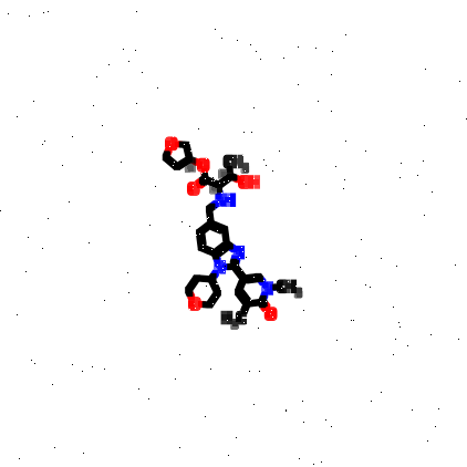 Cc1cc(-c2nc3cc(CN[C@H](C(=O)O[C@H]4CCOC4)[C@@H](C)O)ccc3n2C2CCOCC2)cn(C)c1=O